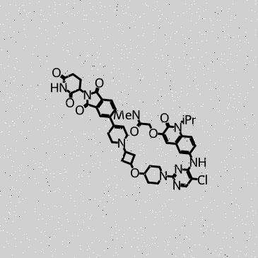 CNC(=O)COc1cc2cc(Nc3nc(N4CCC(OC5CC(N6CC=C(c7ccc8c(c7)C(=O)N(C7CCC(=O)NC7=O)C8=O)CC6)C5)CC4)ncc3Cl)ccc2n(C(C)C)c1=O